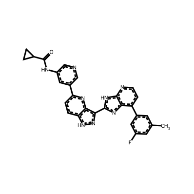 Cc1cc(F)cc(-c2ccnc3[nH]c(-c4n[nH]c5ccc(-c6cncc(NC(=O)C7CC7)c6)nc45)nc23)c1